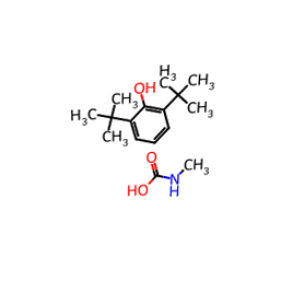 CC(C)(C)c1cccc(C(C)(C)C)c1O.CNC(=O)O